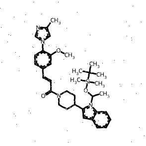 COc1cc(C=CC(=O)N2CCC(c3cc4ccccc4n3C(C)O[Si](C)(C)C(C)(C)C)CC2)ccc1-n1cnc(C)c1